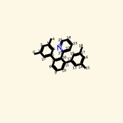 Cc1cc(C)cc(-c2cccc(-c3cc(C)cc(C)c3)c2-c2ccccn2)c1